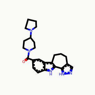 O=C(c1ccc2[nH]c3c(c2c1)CCCc1cn[nH]c1-3)N1CCC(N2CCCC2)CC1